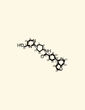 O=C(NC1CCN(c2nccc(CO)n2)CC1)c1ccc(-c2nccc3occc23)cc1